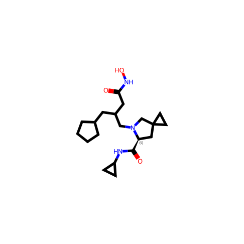 O=C(CC(CC1CCCC1)CN1CC2(CC2)C[C@H]1C(=O)NC1CC1)NO